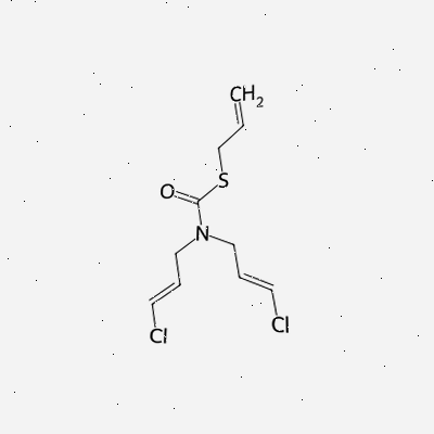 C=CCSC(=O)N(CC=CCl)CC=CCl